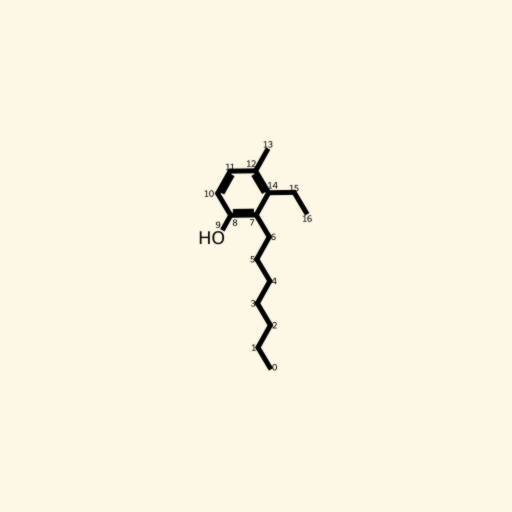 CCCCCCCc1c(O)ccc(C)c1CC